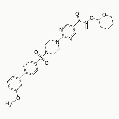 COc1cccc(-c2ccc(S(=O)(=O)N3CCN(c4ncc(C(=O)NOC5CCCCO5)cn4)CC3)cc2)c1